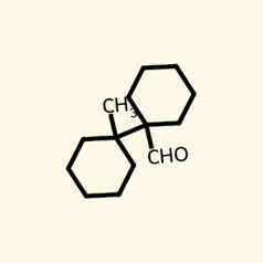 CC1(C2(C=O)CCCCC2)CCCCC1